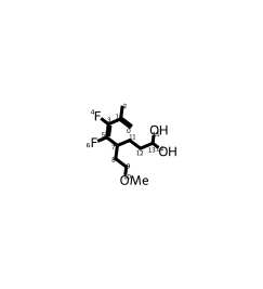 C=C(C)/C(F)=C(/F)C(CCOC)CCC(O)O